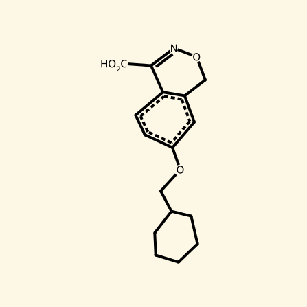 O=C(O)C1=NOCc2cc(OCC3CCCCC3)ccc21